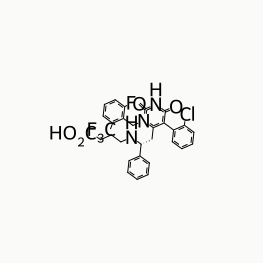 O=C(O)CCCN[C@H](Cc1c(-c2ccccc2Cl)c(=O)[nH]c(=O)n1Cc1c(F)cccc1C(F)(F)F)c1ccccc1